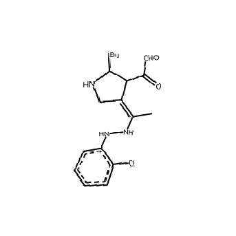 CCC(C)C1NCC(=C(C)NNc2ccccc2Cl)C1C(=O)C=O